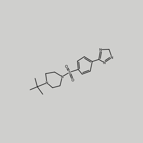 CC(C)(C)N1CCN(S(=O)(=O)c2ccc(C3=NCN=N3)cc2)CC1